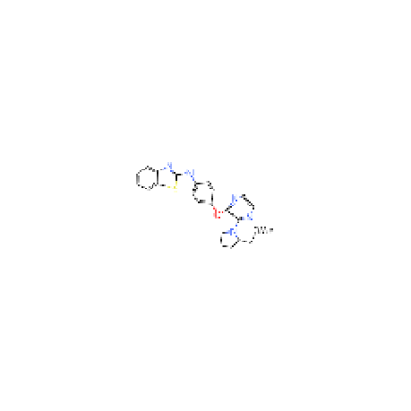 COCC1CCCN1c1nccnc1Oc1ccc(Nc2nc3ccccc3s2)cc1